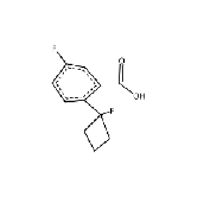 Fc1ccc(C2(F)CCC2)cc1.O=CO